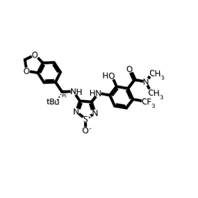 CN(C)C(=O)c1c(C(F)(F)F)ccc(Nc2n[s+]([O-])nc2N[C@@H](c2ccc3c(c2)OCO3)C(C)(C)C)c1O